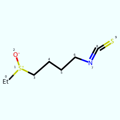 CC[S+]([O-])CCCCN=C=S